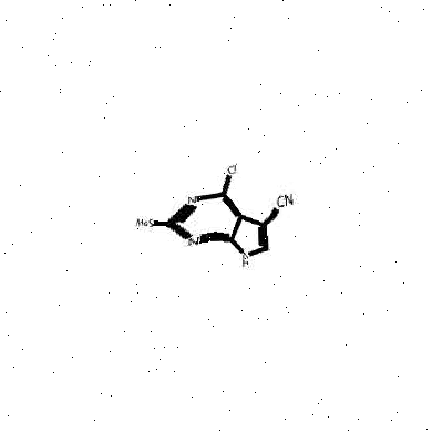 CSc1nc(Cl)c2c(C#N)c[nH]c2n1